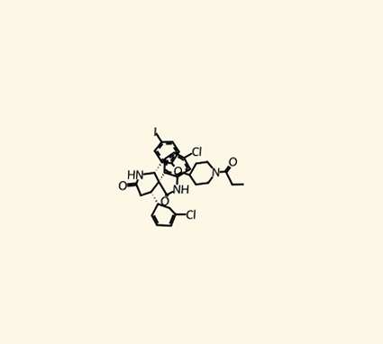 CCC(=O)N1CCC(Oc2ccc(I)cc2[C@H]2NC(=O)C[C@@H](C3C=CC=C(Cl)C3)[C@]23C(=O)Nc2cc(Cl)ccc23)CC1